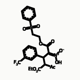 CCOC(=O)C(C(C)=O)C(/C(C(=O)OCCS(=O)(=O)c1ccccc1)=[N+](/[O-])O)c1cccc(C(F)(F)F)c1